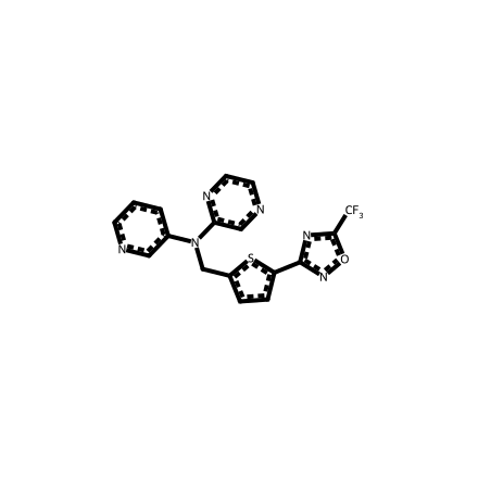 FC(F)(F)c1nc(-c2ccc(CN(c3cccnc3)c3cnccn3)s2)no1